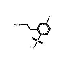 CC(=O)NCCc1cc(Cl)ccc1S(N)(=O)=O